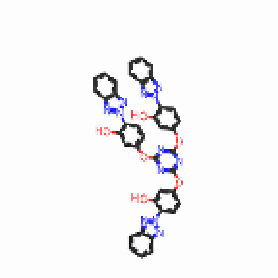 Oc1cc(Oc2nc(Oc3ccc(-n4nc5ccccc5n4)c(O)c3)nc(Oc3ccc(-n4nc5ccccc5n4)c(O)c3)n2)ccc1-n1nc2ccccc2n1